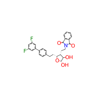 O=C1c2ccccc2C(=O)N1CC[C@@H]1[C@@H](O)[C@H](O)O[C@@H]1CCc1ccc(-c2cc(F)cc(F)c2)cc1